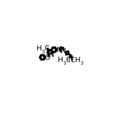 Cc1cc(Oc2ccccc2)nc2cc(N3C=CN(C4CC(CN(C)C)C4)C3)ccc12